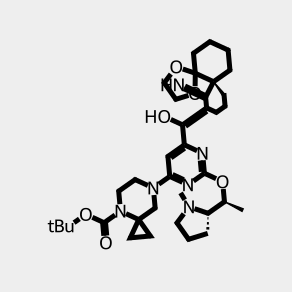 C[C@H](Oc1nc(/C(O)=C2\CCC[C@@]3(CCCCC34OCCO4)C2=N)cc(N2CCN(C(=O)OC(C)(C)C)C3(CC3)C2)n1)[C@@H]1CCCN1C